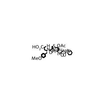 CCC(C)[C@H](NC(=O)[C@H]1CCCCN1C)C(=O)N(C)C(C[C@@H](OC(C)=O)c1nc(C(=O)N[C@@H](Cc2ccc(OC)cc2)C[C@H](C)C(=O)O)cs1)C(C)C